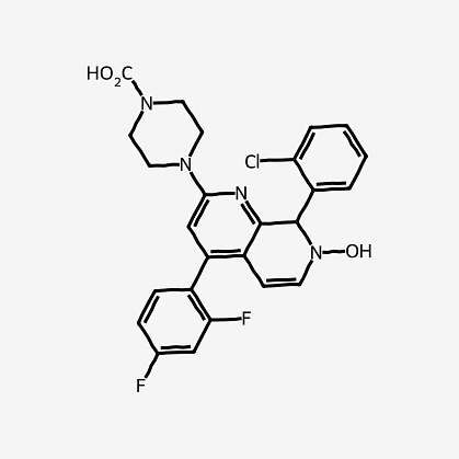 O=C(O)N1CCN(c2cc(-c3ccc(F)cc3F)c3c(n2)C(c2ccccc2Cl)N(O)C=C3)CC1